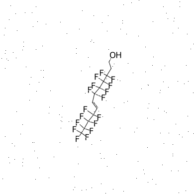 OCCC(F)(F)C(F)(F)C(F)(F)C(F)(F)C=CC(F)(F)C(F)(F)C(F)(F)C(F)(F)F